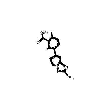 COC(=O)c1c(C)ccc(-c2ccn3nc(N)nc3c2)c1F